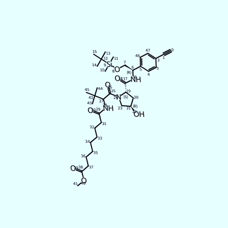 C#Cc1ccc([C@H](CO[Si](C)(C)C(C)(C)C)NC(=O)[C@@H]2C[C@@H](O)CN2C(=O)C(NC(=O)CCCCCCCC(=O)OC)C(C)(C)C)cc1